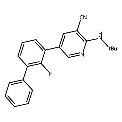 CC(C)(C)Nc1ncc(-c2cccc(-c3ccccc3)c2F)cc1C#N